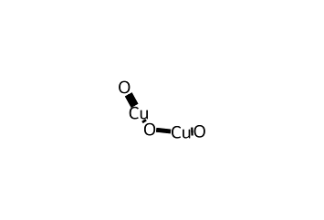 [O]=[Cu][O][Cu]=[O]